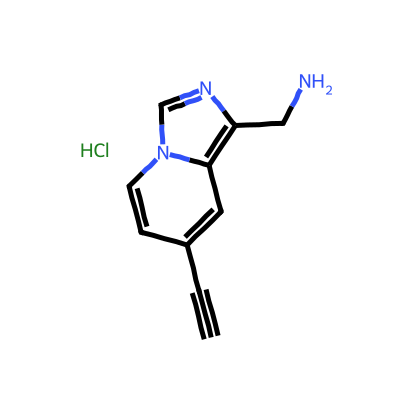 C#Cc1ccn2cnc(CN)c2c1.Cl